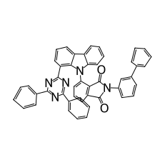 O=C1c2cccc(-n3c4ccccc4c4cccc(-c5nc(-c6ccccc6)nc(-c6ccccc6)n5)c43)c2C(=O)N1c1cccc(-c2ccccc2)c1